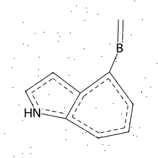 C=Bc1cccc2[nH]ccc12